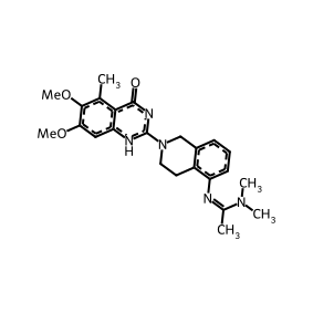 COc1cc2[nH]c(N3CCc4c(cccc4N=C(C)N(C)C)C3)nc(=O)c2c(C)c1OC